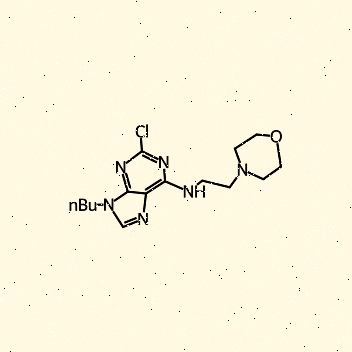 CCCCn1cnc2c(NCCN3CCOCC3)nc(Cl)nc21